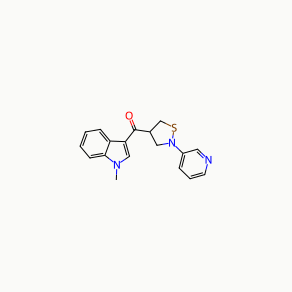 Cn1cc(C(=O)C2CSN(c3cccnc3)C2)c2ccccc21